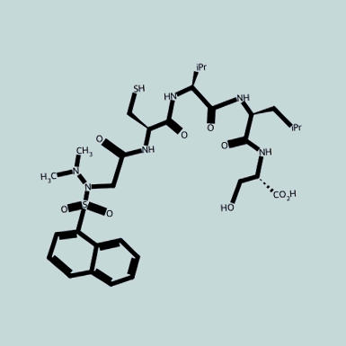 CC(C)C[C@H](NC(=O)[C@@H](NC(=O)[C@H](CS)NC(=O)CN(N(C)C)S(=O)(=O)c1cccc2ccccc12)C(C)C)C(=O)N[C@@H](CO)C(=O)O